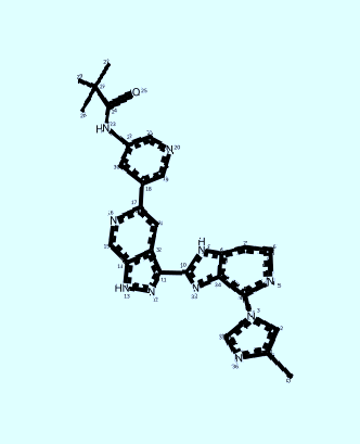 Cc1cn(-c2nccc3[nH]c(-c4n[nH]c5cnc(-c6cncc(NC(=O)C(C)(C)C)c6)cc45)nc23)cn1